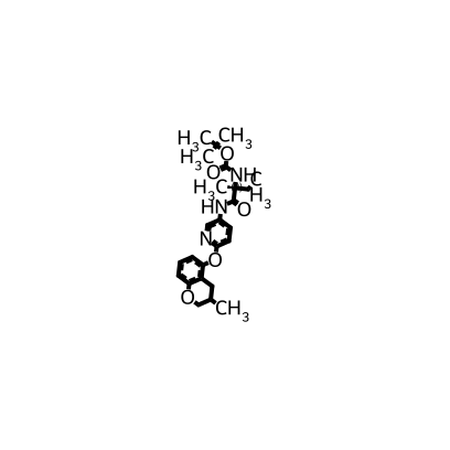 CC[C@@](C)(NC(=O)OC(C)(C)C)C(=O)Nc1ccc(Oc2cccc3c2CC(C)CO3)nc1